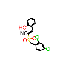 N#C/C(=C\c1ccccc1O)S(=O)(=O)Cc1ccc(Cl)cc1Cl